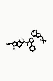 Cc1c(CNC2CN(c3ncnc4sc(CC(F)(F)F)cc34)CC2c2ccccc2)ccc2[nH]c(C#N)cc12